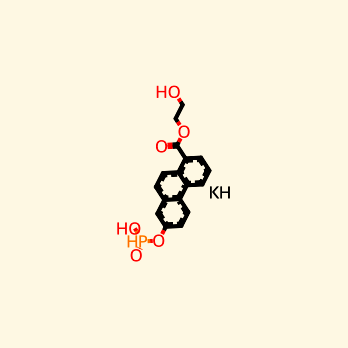 O=C(OCCO)c1cccc2c1ccc1cc(O[PH](=O)O)ccc12.[KH]